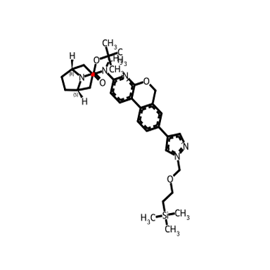 CN(c1ccc2c(n1)OCc1cc(-c3cnn(COCC[Si](C)(C)C)c3)ccc1-2)C1C[C@H]2CC[C@@H](C1)N2C(=O)OC(C)(C)C